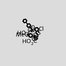 COc1ccc(S(=O)(=O)N(CC(=O)O)Cc2cc3c(N(CC(=O)O)S(=O)(=O)c4ccc(-c5ccccc5)cc4)ccc(Cl)c3s2)cc1